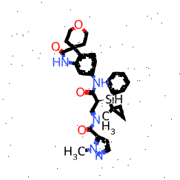 Cn1nccc1C(=O)/N=C/C(C(=O)Nc1ccc2c(c1)NC(=O)C21CCOCC1)[Si@H](c1ccccc1)C1(C)CC1